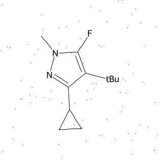 Cn1nc(C2CC2)c(C(C)(C)C)c1F